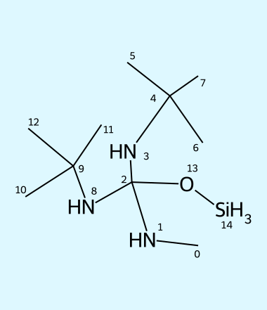 CNC(NC(C)(C)C)(NC(C)(C)C)O[SiH3]